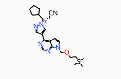 C[Si](C)(C)CCOCn1ccc2c(-c3cnn([C@@H](CC#N)C4CCCC4)c3)ncnc21